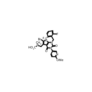 COc1ccc(-n2c(=O)c3c(CN(C)C(=O)O)c(Br)sc3n(Cc3c(F)cccc3C(F)(F)F)c2=O)cn1